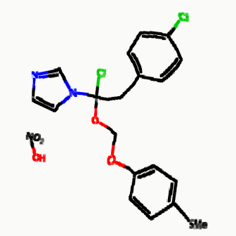 CSc1ccc(OCOC(Cl)(Cc2ccc(Cl)cc2)n2ccnc2)cc1.O=[N+]([O-])O